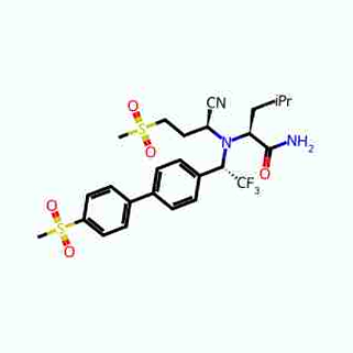 CC(C)C[C@@H](C(N)=O)N([C@H](C#N)CCS(C)(=O)=O)[C@@H](c1ccc(-c2ccc(S(C)(=O)=O)cc2)cc1)C(F)(F)F